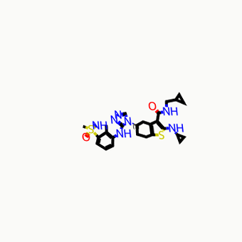 Cc1c(Nc2nncn2[C@H]2CCc3sc(NC4CC4)c(C(=O)NCC4CC4)c3C2)cccc1S(C)(=N)=O